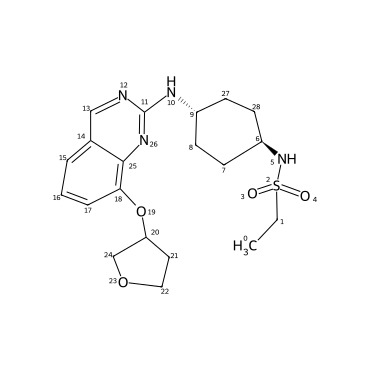 CCS(=O)(=O)N[C@H]1CC[C@H](Nc2ncc3cccc(OC4CCOC4)c3n2)CC1